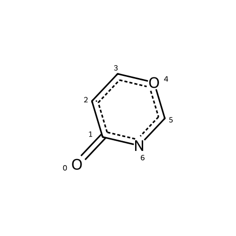 O=c1[c]cocn1